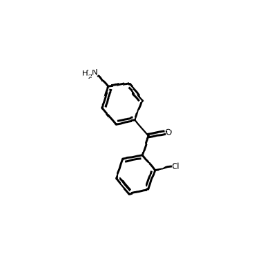 Nc1ccc(C(=O)c2ccccc2Cl)cc1